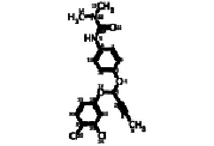 CC#CC(Oc1ccc(NC(=O)N(C)C)cc1)Oc1ccc(Cl)c(Cl)c1